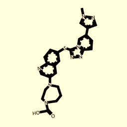 Cn1cc(-c2ccc3nnc(Sc4ccc5ncc(N6CCCN(C(=O)O)CC6)cc5c4)n3c2)cn1